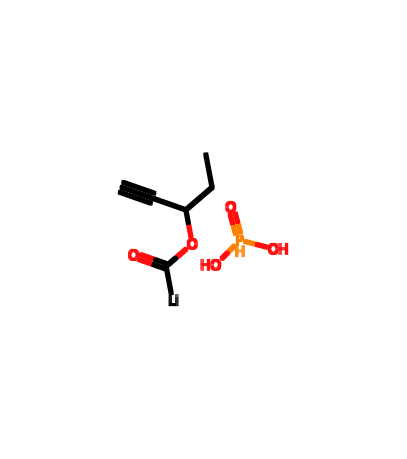 O=[PH](O)O.[Li][C](=O)OC(C#C)CC